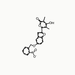 Cc1c(-c2cc3cc(OCc4ccccc4[N+](=O)[O-])ccc3o2)oc(=O)c(C)c1O